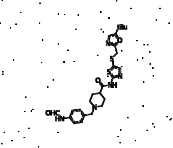 CC(C)(C)c1cnc(CSc2cnc(NC(=O)C3CCN(Cc4ccc(NC=O)cc4)CC3)s2)o1